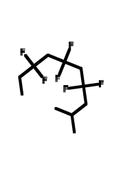 CCC(F)(F)CC(F)(F)CC(F)(F)CC(C)C